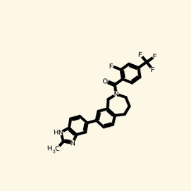 Cc1nc2cc(-c3ccc4c(c3)CN(C(=O)c3ccc(C(F)(F)F)cc3F)CCC4)ccc2[nH]1